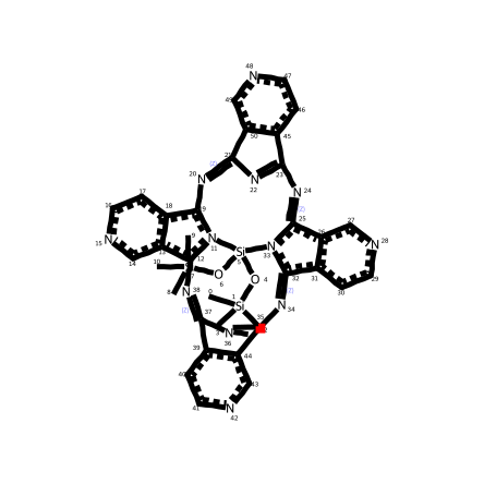 C[Si](C)(C)O[Si]1(O[Si](C)(C)C)n2c3c4cnccc4c2/N=C2N=C(/N=c4/c5cnccc5/c(n41)=N/C1=NC(=N\3)/c3ccncc31)c1ccncc1\2